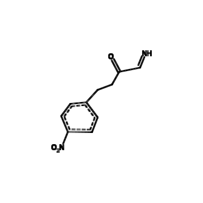 N=CC(=O)CCc1ccc([N+](=O)[O-])cc1